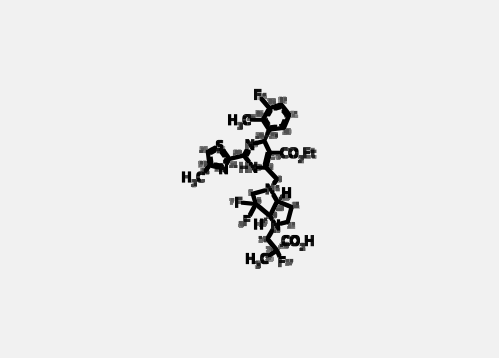 CCOC(=O)C1=C(CN2CC(F)(F)[C@H]3[C@@H]2CCN3C[C@](C)(F)C(=O)O)NC(c2nc(C)cs2)=N[C@H]1c1cccc(F)c1C